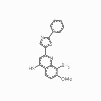 Bc1c(OC)ccc2c(S)cc(-c3cnc(-c4ccccc4)s3)nc12